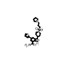 NC(=O)c1cc(-c2cccs2)cc2c(C3CCN(S(=O)(=O)CCCN4CCCC4)CC3)n[nH]c12